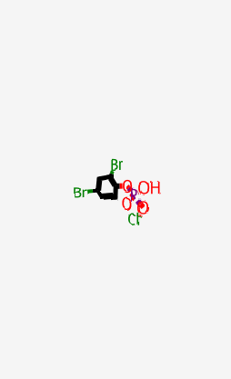 O=P(O)(OCl)Oc1ccc(Br)cc1Br